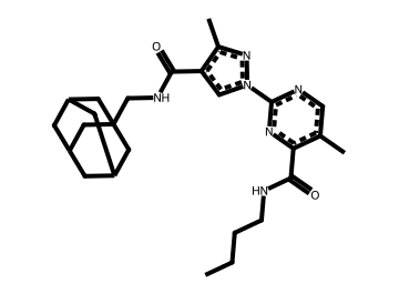 CCCCNC(=O)c1nc(-n2cc(C(=O)NCC34CC5CC(CC(C5)C3)C4)c(C)n2)ncc1C